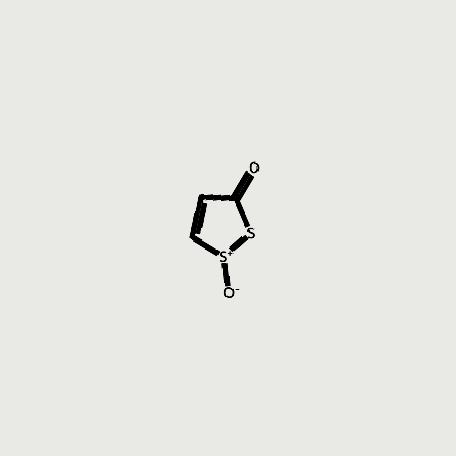 O=c1cc[s+]([O-])s1